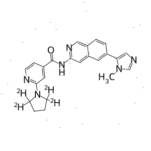 [2H]C1([2H])CCC([2H])([2H])N1c1cc(C(=O)Nc2cc3cc(-c4cncn4C)ccc3cn2)ccn1